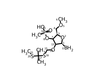 B[C@@H]1O[C@H](COC)C(OP(C)(=O)O)C1OCSC(C)(C)SC